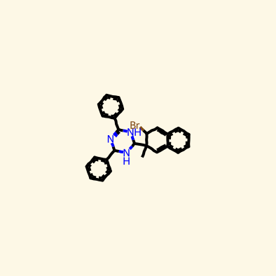 CC1(C2NC(c3ccccc3)=NC(c3ccccc3)N2)C=c2ccccc2=CC1Br